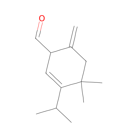 C=C1CC(C)(C)C(C(C)C)=CC1C=O